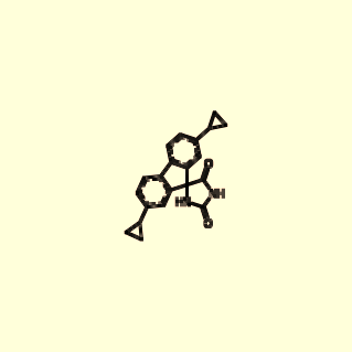 O=C1NC(=O)C2(N1)c1cc(C3CC3)ccc1-c1ccc(C3CC3)cc12